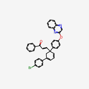 O=C(C=CC1(c2ccc(Oc3cnc4ccccc4n3)cc2)C=CC=C(c2ccc(Br)cc2)C1)c1ccccc1